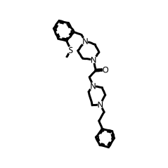 CSc1ccccc1CN1CCN(C(=O)CN2CCN(CCc3ccccc3)CC2)CC1